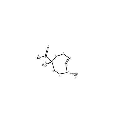 C[C@@]1(C(=O)O)CC/C=C/[C@H](O)CC1